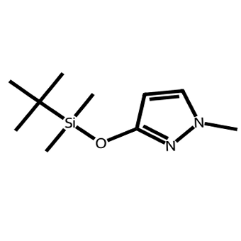 Cn1ccc(O[Si](C)(C)C(C)(C)C)n1